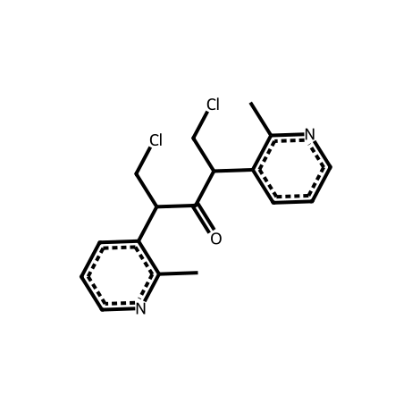 Cc1ncccc1C(CCl)C(=O)C(CCl)c1cccnc1C